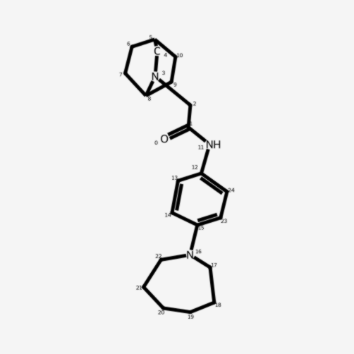 O=C(CN1CC2CCC1CC2)Nc1ccc(N2CCCCCC2)cc1